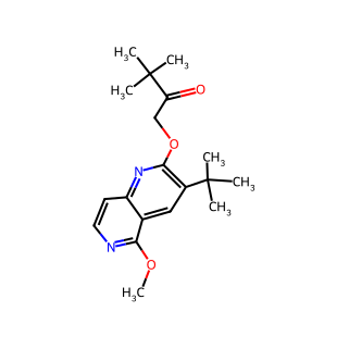 COc1nccc2nc(OCC(=O)C(C)(C)C)c(C(C)(C)C)cc12